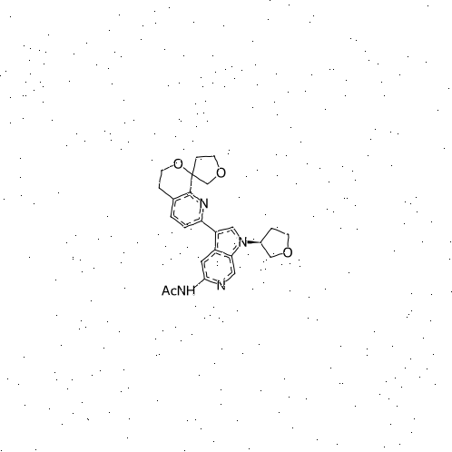 CC(=O)Nc1cc2c(-c3ccc4c(n3)C3(CCOC3)OCC4)cn([C@H]3CCOC3)c2cn1